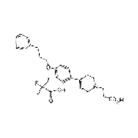 O=C(O)C(F)(F)F.O=C(O)CCN1CC=C(c2ccc(OCCCc3ccccc3)cc2)CC1